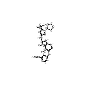 CC(=O)Nc1cc(Oc2cnc3nc(Nc4cc(C(C)(C)C#N)n([C@@H]5CCOC5)n4)n(C)c3c2Cl)ccn1